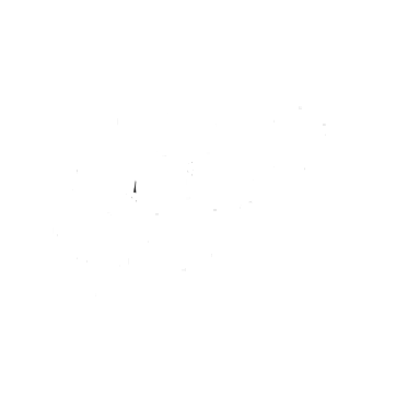 CC(C)[C@H](NC(=O)OC(C)(C)C)C(=O)Nc1ccc(OC(F)(F)F)cc1C(=O)c1ccc(F)cc1